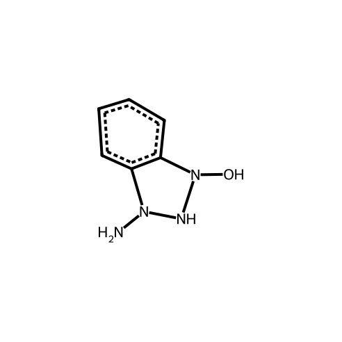 NN1NN(O)c2ccccc21